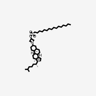 CCCCCCCCCCCCCCCCS(=O)(=O)OC1CN(C2CC[C@@]3(C)C(CC[C@H]4[C@@H]5CC[C@H]([C@H](C)CCCC(C)C)[C@@]5(C)CC[C@@H]43)C2)C1